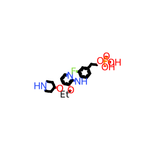 CCOc1c(OC2CCNCC2)ccnc1Nc1ccc(CCOP(=O)(O)O)cc1F